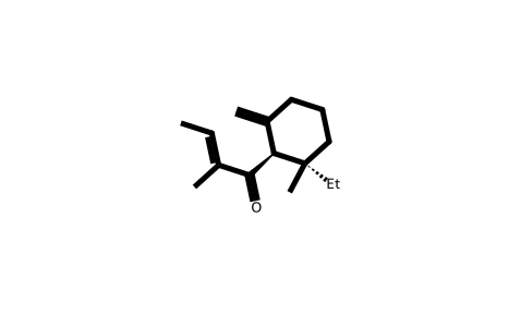 C=C1CCC[C@](C)(CC)[C@H]1C(=O)C(C)=CC